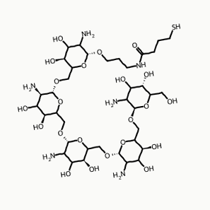 NC1C(O)[C@H](O)C(CO)O[C@H]1OCC1O[C@@H](OCC2O[C@@H](OCC3O[C@@H](OCC4O[C@@H](OCCCNC(=O)CCCS)C(N)C(O)[C@@H]4O)[C@H](N)C(O)[C@@H]3O)C(N)C(O)[C@@H]2O)C(N)C(O)[C@@H]1O